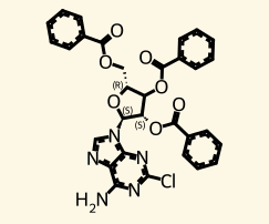 Nc1nc(Cl)nc2c1ncn2[C@H]1O[C@H](COC(=O)c2ccccc2)C(OC(=O)c2ccccc2)[C@@H]1OC(=O)c1ccccc1